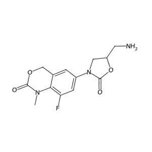 CN1C(=O)OCc2cc(N3CC(CN)OC3=O)cc(F)c21